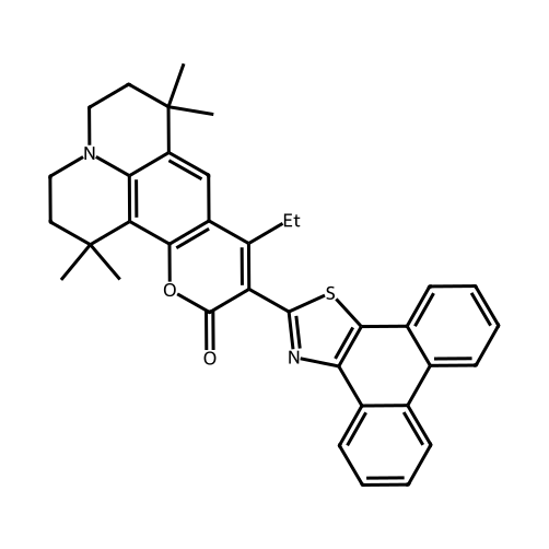 CCc1c(-c2nc3c4ccccc4c4ccccc4c3s2)c(=O)oc2c3c4c(cc12)C(C)(C)CCN4CCC3(C)C